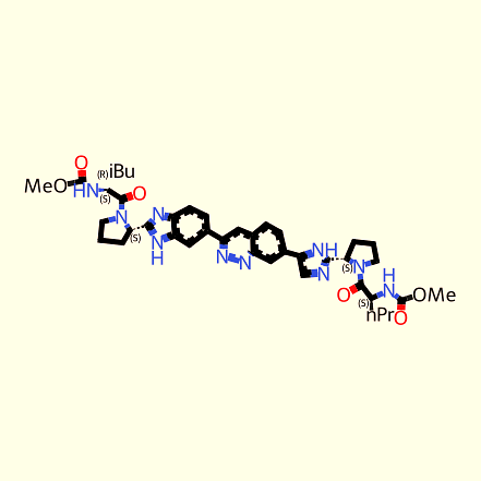 CCC[C@H](NC(=O)OC)C(=O)N1CCC[C@H]1c1ncc(-c2ccc3cc(-c4ccc5nc([C@@H]6CCCN6C(=O)[C@@H](NC(=O)OC)[C@H](C)CC)[nH]c5c4)nnc3c2)[nH]1